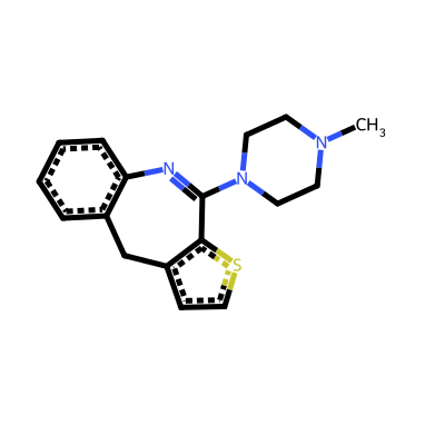 CN1CCN(C2=Nc3ccccc3Cc3ccsc32)CC1